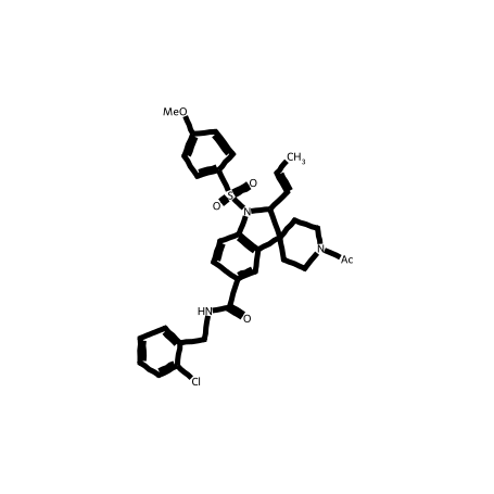 C/C=C/C1N(S(=O)(=O)c2ccc(OC)cc2)c2ccc(C(=O)NCc3ccccc3Cl)cc2C12CCN(C(C)=O)CC2